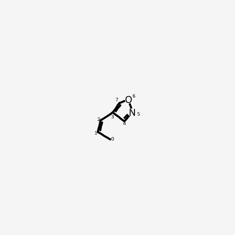 C/C=C\c1cnoc1